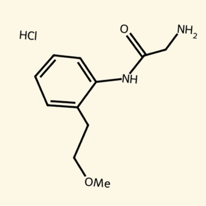 COCCc1ccccc1NC(=O)CN.Cl